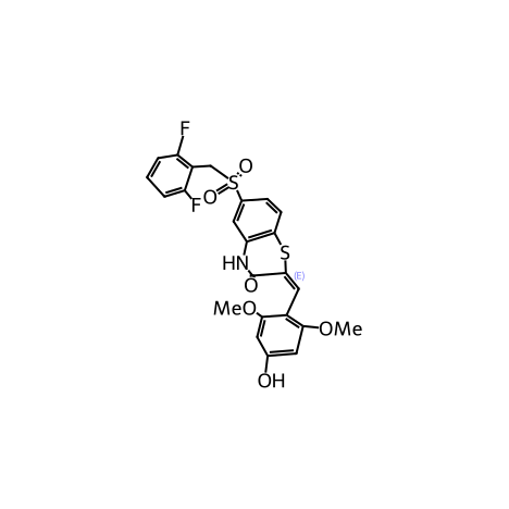 COc1cc(O)cc(OC)c1/C=C1/Sc2ccc(S(=O)(=O)Cc3c(F)cccc3F)cc2NC1=O